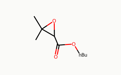 CCCCOC(=O)C1OC1(C)C